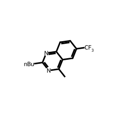 CCCCc1nc(C)c2cc(C(F)(F)F)ccc2n1